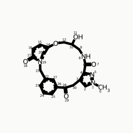 Cn1cc2c(n1)C(=O)NCC(O)COc1ccc(=O)n(c1)Cc1cccc(c1)C(=O)C2